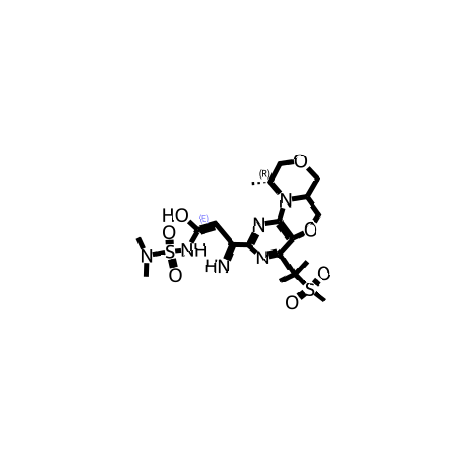 C[C@@H]1COCC2COc3c(nc(C(=N)/C=C(/O)NS(=O)(=O)N(C)C)nc3C(C)(C)S(C)(=O)=O)N21